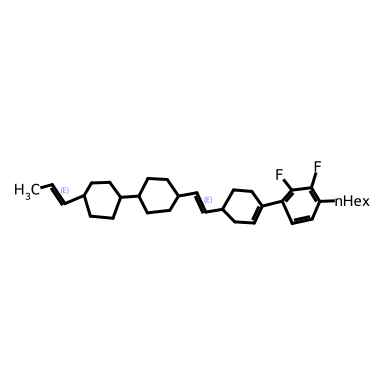 C/C=C/C1CCC(C2CCC(/C=C/C3CC=C(c4ccc(CCCCCC)c(F)c4F)CC3)CC2)CC1